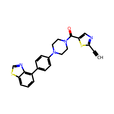 C#Cc1ncc(C(=O)N2CCN(c3ccc(-c4cccc5scnc45)cc3)CC2)s1